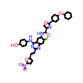 O=C(Nc1cc2c(Nc3ccc(O)cc3)nc(/C=C/c3ccc([N+](=O)[O-])o3)nc2cc1F)c1coc(-c2ccc(Oc3ccccc3)cc2)n1